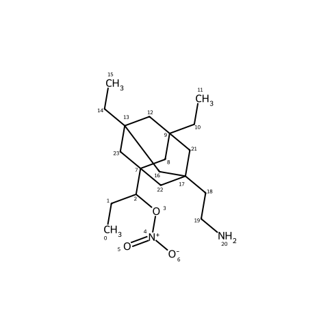 CCC(O[N+](=O)[O-])C12CC3(CC)CC(CC)(CC(CCN)(C3)C1)C2